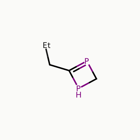 CCCC1=PCP1